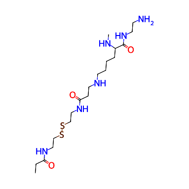 CCC(=O)NCCSSCCNC(=O)CCNCCCCC(NC)C(=O)NCCN